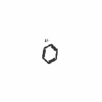 [Rh].c1ccccc1